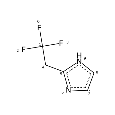 FC(F)(F)Cc1n[c]c[nH]1